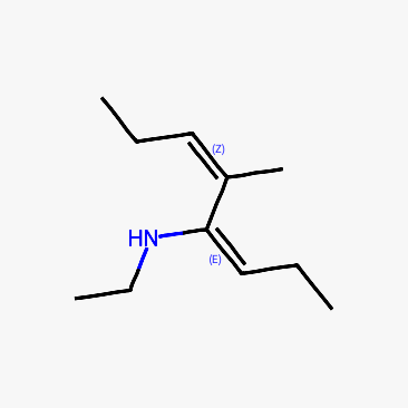 CC/C=C(C)\C(=C/CC)NCC